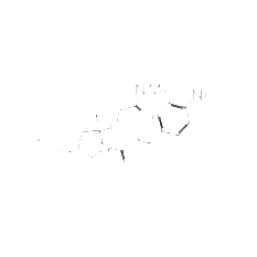 CNC(=O)CO[C@@]1(C)C[C@H](SC(C)=O)CN1C(=O)OCc1ccc([N+](=O)[O-])cc1